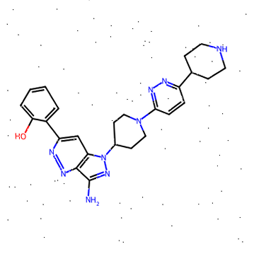 Nc1nn(C2CCN(c3ccc(C4CCNCC4)nn3)CC2)c2cc(-c3ccccc3O)nnc12